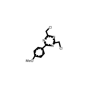 COc1ccc(-c2nc(CCl)nc(CCl)n2)cc1